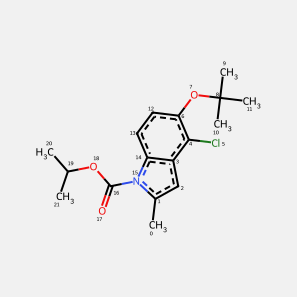 Cc1cc2c(Cl)c(OC(C)(C)C)ccc2n1C(=O)OC(C)C